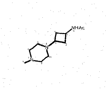 CC(=O)NC1CC(N2CCN(C)CC2)C1